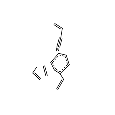 C=C.C=CC.C=CC#N.C=Cc1ccccc1